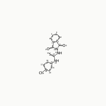 O=C1c2ccccc2C(=O)N1NC(=S)Nc1ccc(Cl)cc1